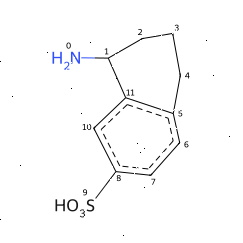 NC1CCCc2ccc(S(=O)(=O)O)cc21